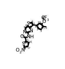 Cc1ccc(-c2csc3cnc(NC(=O)c4ccc([N+](=O)[O-])s4)nc23)cc1OC(F)(F)F